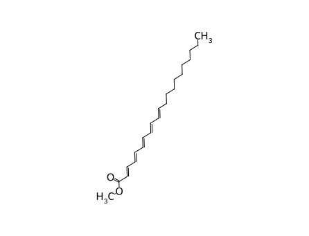 CCCCCCCCCCC=CC=CC=CC=CC=CC(=O)OC